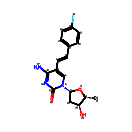 CC[C@H]1O[C@@H](n2cc(/C=C/c3ccc(F)cc3)c(N)nc2=O)C[C@H]1O